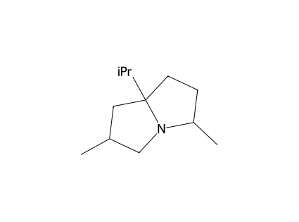 CC1CN2C(C)CCC2(C(C)C)C1